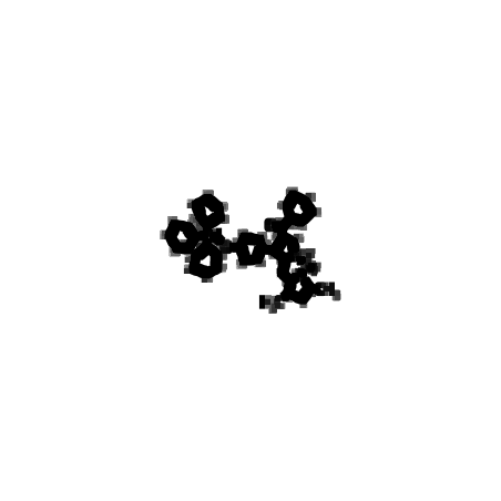 Cc1cc(C)n2c1C=C1C(c3ccc(OC[PH](c4ccccc4)(c4ccccc4)c4ccccc4)cc3)=C(C(=O)c3ccccc3)C=[N+]1[B-]2(F)F